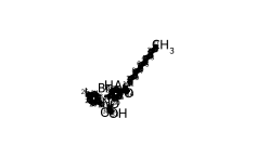 CCCCCCCCCCCC[AsH]C(=O)c1ccc(CN(Cc2ccc(I)cc2)C(=O)C(=O)O)c(Br)c1